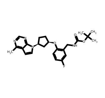 Cc1ncnc2c1ccn2[C@H]1CC[C@@H](Oc2ccc(F)cc2CNC(=O)OC(C)(C)C)C1